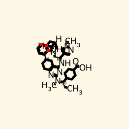 CC[C@H](C1CCC(C(=O)O)CC1)N(C)c1nc2c(c(N[C@@H](CN3C[C@H]4C[C@@H](C3)C4O)c3cnn(C)c3)n1)C[C@H](c1ccccc1)CC2